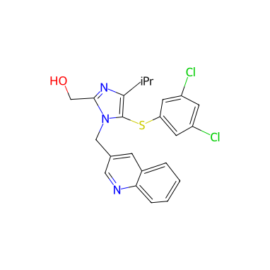 CC(C)c1nc(CO)n(Cc2cnc3ccccc3c2)c1Sc1cc(Cl)cc(Cl)c1